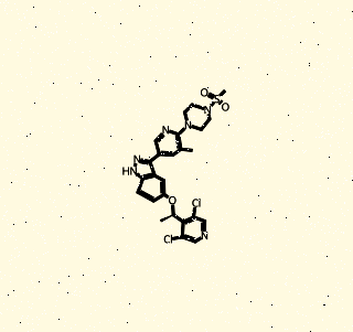 Cc1cc(-c2n[nH]c3ccc(O[C@H](C)c4c(Cl)cncc4Cl)cc23)cnc1N1CCN(S(C)(=O)=O)CC1